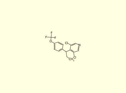 CC[C](c1ccc(OC(F)(F)F)cc1)c1c(Cl)cncc1Cl